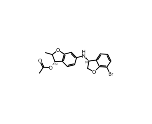 CC(=O)O[C@H]1c2ccc(N[C@@H]3COc4c(Br)cccc43)cc2OC1C